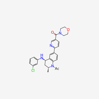 CC(=O)N1c2ccc(-c3ccc(C(=O)N4CCOCC4)cn3)cc2[C@H](Nc2cccc(Cl)c2)C[C@@H]1C